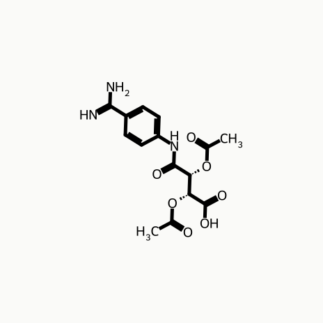 CC(=O)O[C@@H](C(=O)O)[C@@H](OC(C)=O)C(=O)Nc1ccc(C(=N)N)cc1